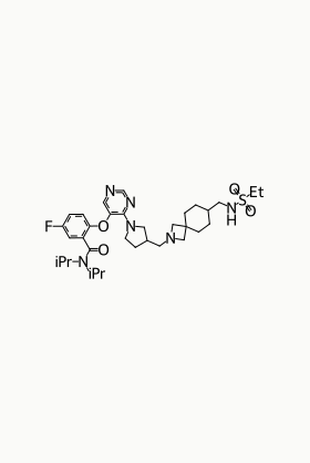 CCS(=O)(=O)NCC1CCC2(CC1)CN(CC1CCN(c3ncncc3Oc3ccc(F)cc3C(=O)N(C(C)C)C(C)C)C1)C2